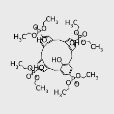 CCOP(=O)(OCC)c1cc2c(O)c(c1)Cc1cc(P(=O)(OCC)OCC)cc(c1O)Cc1cc(P(=O)(OCC)OCC)cc(c1O)Cc1cc(P(=O)(OCC)OCC)cc(c1O)C2